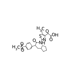 CCc1sc(NC(=O)C(CC2CCCC2)c2ccc(S(C)(=O)=O)cc2)nc1C(=O)C(=O)O